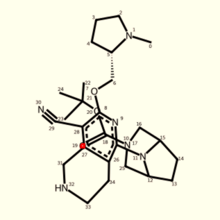 CN1CCC[C@H]1COc1nc(N2C3CCC2CN(C(=O)OC(C)(C)C)C3)c2c(c1C#N)CNCC2